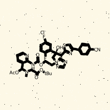 CC(=O)OC(c1cccnc1NC(=O)OCC[N+]1(C[C@](O)(c2cc(F)ccc2F)[C@@H](C)c2nc(-c3ccc(C#N)cc3)cs2)C=NC=N1)N(C)CC(=O)OC(C)(C)C.[Cl-]